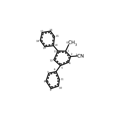 Cc1c(C#N)cc(-c2ccccc2)cc1-c1ccccc1